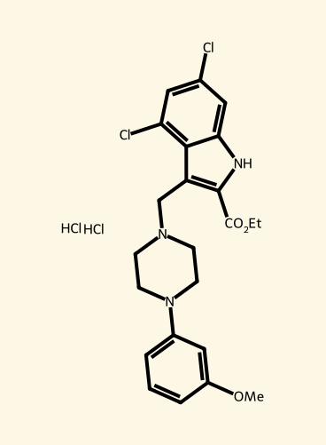 CCOC(=O)c1[nH]c2cc(Cl)cc(Cl)c2c1CN1CCN(c2cccc(OC)c2)CC1.Cl.Cl